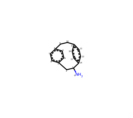 NC1Cc2ccc(cc2)CCc2ccc1cc2